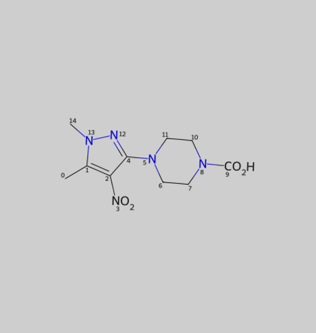 Cc1c([N+](=O)[O-])c(N2CCN(C(=O)O)CC2)nn1C